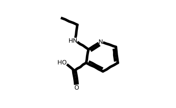 CCNc1ncccc1C(=O)O